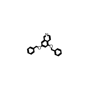 c1ccc(COc2cc(OCc3ccccc3)c3ccncc3c2)cc1